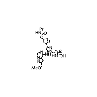 COCc1cc2c(Nc3cc([C@H]4C[C@@H](OC(=O)NC(C)C)CO4)nn3COP(=O)(O)O)nccn2n1